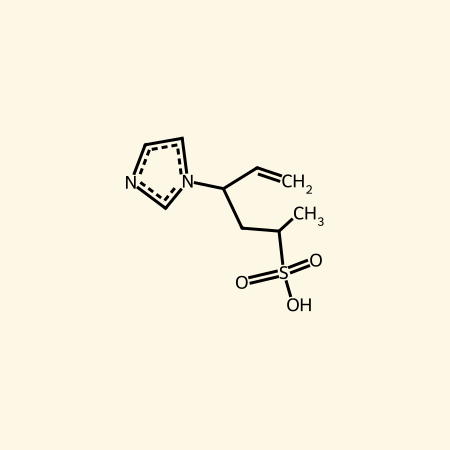 C=CC(CC(C)S(=O)(=O)O)n1ccnc1